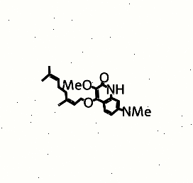 CNc1ccc2c(OCC=C(C)CCC=C(C)C)c(OC)c(=O)[nH]c2c1